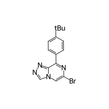 CC(C)(C)c1ccc(-c2nc(Br)cn3cnnc23)cc1